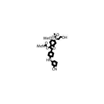 CNC(=O)Oc1c(-c2ccc(Nc3cccc(C#N)c3)cc2)oc2cc(N(CCO)S(C)(=O)=O)c(OC)cc12